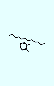 CCCCCCCCCCCC.Cc1ccccc1C